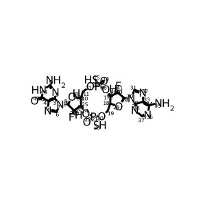 Nc1nc2c(ncn2[C@@H]2O[C@@H]3CO[P@@](=O)(S)O[C@@H]4C(COP(=O)(S)O[C@H]3[C@H]2F)O[C@@H](n2cnc3c(N)ncnc32)[C@@H]4F)c(=O)[nH]1